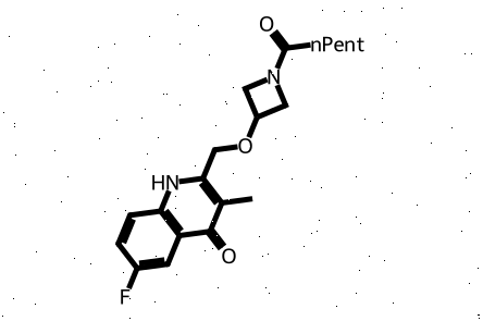 CCCCCC(=O)N1CC(OCc2[nH]c3ccc(F)cc3c(=O)c2C)C1